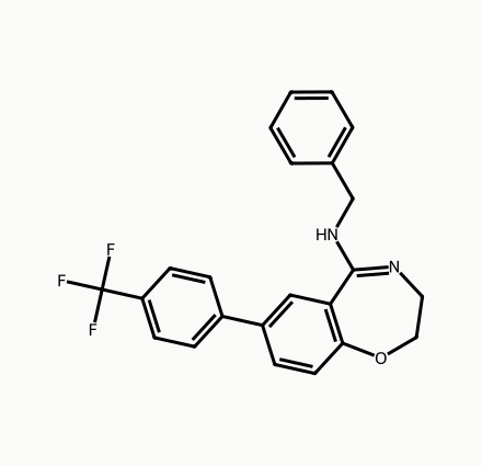 FC(F)(F)c1ccc(-c2ccc3c(c2)C(NCc2ccccc2)=NCCO3)cc1